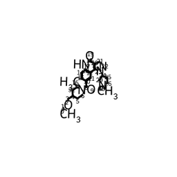 CCOCC1CCN(C(=O)c2cc3c(cc2C)[nH]c(=O)c2cnn(C4CCN(C)C4)c23)CC1